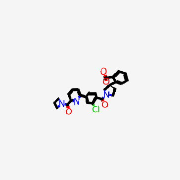 O=C1O[C@]2(CCN(C(=O)c3ccc(-c4cccc(C(=O)N5CCC5)n4)cc3Cl)C2)c2ccccc21